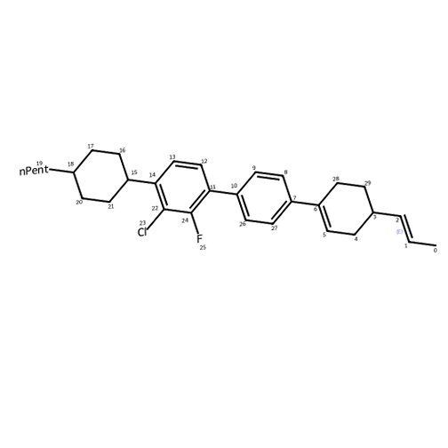 C/C=C/C1CC=C(c2ccc(-c3ccc(C4CCC(CCCCC)CC4)c(Cl)c3F)cc2)CC1